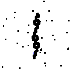 CC/C=C/C[C@H]1CC[C@H](c2ccc(CCCCc3ccc(COC)cc3)cc2)CC1